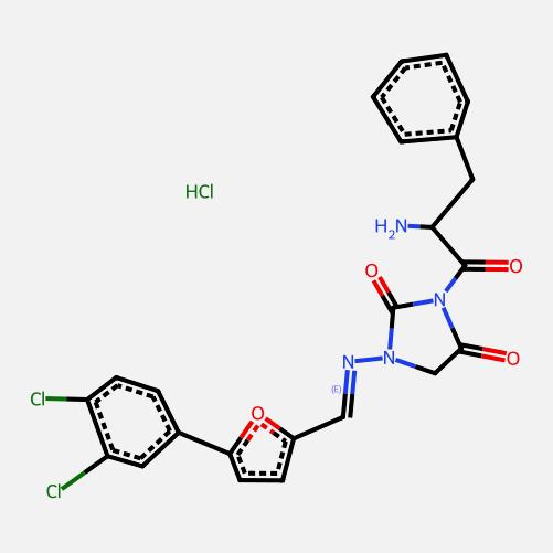 Cl.NC(Cc1ccccc1)C(=O)N1C(=O)CN(/N=C/c2ccc(-c3ccc(Cl)c(Cl)c3)o2)C1=O